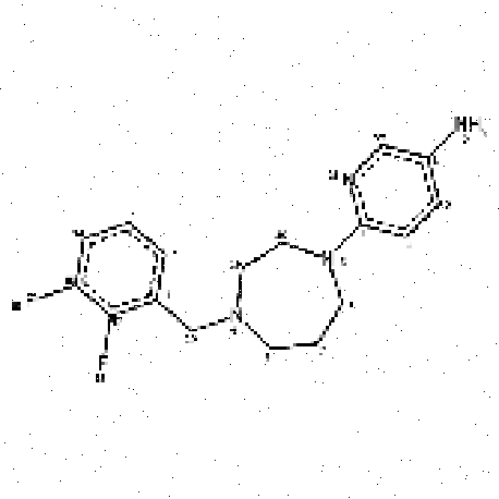 Nc1ccc(N2CCCN(Cc3cccc(F)c3F)CC2)nc1